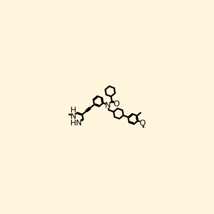 CN/C=C(/C#Cc1cccc(N(CC2CCC(c3ccc(OC)c(C)c3)CC2)C(=O)C2CCCCC2)c1)C=N